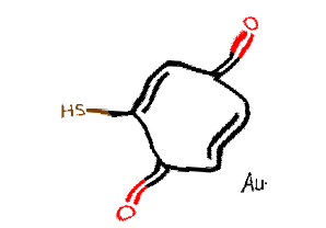 O=C1C=CC(=O)C(S)=C1.[Au]